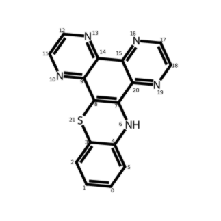 c1ccc2c(c1)Nc1c(c3nccnc3c3nccnc13)S2